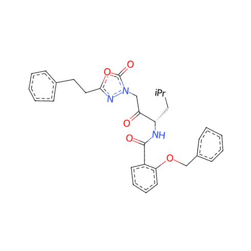 CC(C)C[C@H](NC(=O)c1ccccc1OCc1ccccc1)C(=O)Cn1nc(CCc2ccccc2)oc1=O